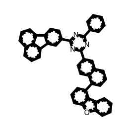 c1ccc(-c2nc(-c3ccc4c(c3)-c3cccc5cccc-4c35)nc(-c3ccc4c(-c5cccc6oc7ccccc7c56)cccc4c3)n2)cc1